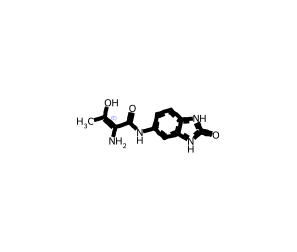 C/C(O)=C(\N)C(=O)Nc1ccc2[nH]c(=O)[nH]c2c1